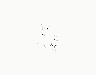 O=C(NC1CCC[C@@H](c2c[nH]c3ccc(Cl)cc23)C1)C1CCCN1C(=O)O